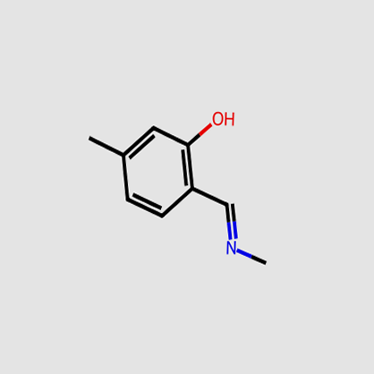 C/N=C/c1ccc(C)cc1O